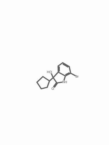 O=C1Nc2c(Br)cccc2C1(O)C1CCCC1